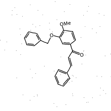 COc1ccc(C(=O)C=Cc2ccccc2)cc1OCc1ccccc1